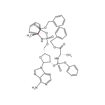 C[C@H](NP(=O)(OC[C@@H]1C[C@H](OP(=O)(N[C@@H](C)C(=O)OCc2ccccc2)Oc2ccccc2)C(n2cnc3c(N)ncnc32)O1)Oc1ccccc1)C(=O)OCc1ccccc1